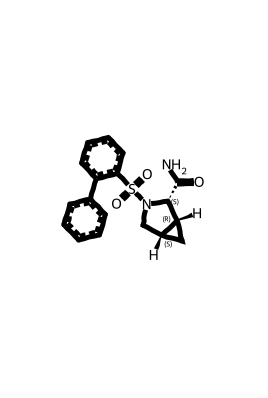 NC(=O)[C@@H]1[C@@H]2C[C@@H]2CN1S(=O)(=O)c1ccccc1-c1ccccc1